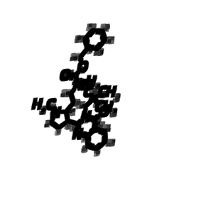 CN1CCC(c2nc3ccccc3c(=O)n2CC(C)(C)C)C1CCNC(=O)OCc1ccccc1